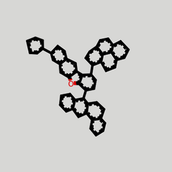 c1ccc(-c2ccc3cc4c(cc3c2)oc2c(-c3c5ccccc5cc5c3ccc3ccccc35)ccc(-c3ccc5ccc6cccc7ccc3c5c67)c24)cc1